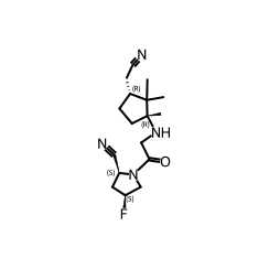 CC1(C)[C@@H](CC#N)CC[C@@]1(C)NCC(=O)N1C[C@@H](F)C[C@H]1C#N